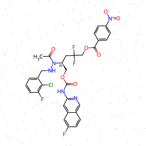 CC(=O)N(NCc1cccc(F)c1Cl)[C@H](COC(=O)Nc1cc2cc(F)ccc2cn1)CC(F)(F)COC(=O)c1ccc([N+](=O)[O-])cc1